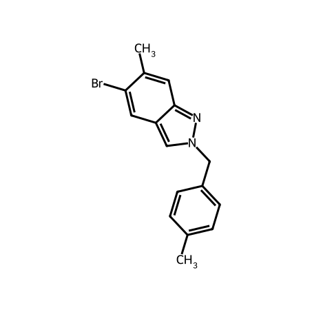 Cc1ccc(Cn2cc3cc(Br)c(C)cc3n2)cc1